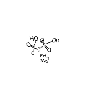 O=S(=O)(O)OS(=O)(=O)O.P.[Mo]